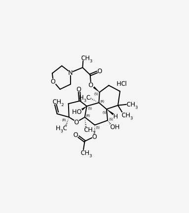 C=C[C@@]1(C)CC(=O)[C@]2(O)[C@@]3(C)[C@@H](OC(=O)C(C)N4CCOCC4)CCC(C)(C)[C@@H]3[C@H](O)[C@H](OC(C)=O)[C@@]2(C)O1.Cl